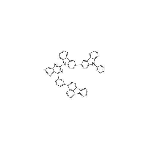 c1ccc(-n2c3ccccc3c3cc(-c4ccc5c(c4)c4ccccc4n5-c4nc(-c5cccc(-c6ccc7c8c(cccc68)-c6ccccc6-7)c5)c5ccccc5n4)ccc32)cc1